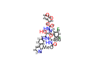 COC(=O)NC(C(=O)NC(Cc1ccc(-c2cccnc2)cc1)C(O)CN(Cc1ccc(F)cc1F)NC(=O)OC1COC2OCCC12)C(C)(C)C